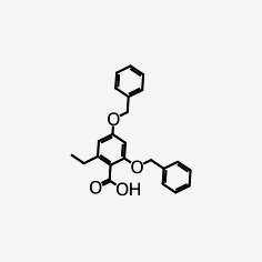 CCc1cc(OCc2ccccc2)cc(OCc2ccccc2)c1C(=O)O